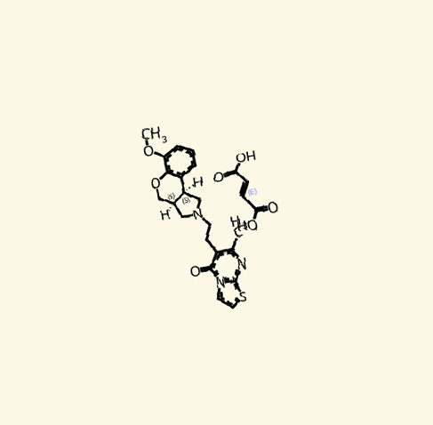 COc1cccc2c1OC[C@@H]1CN(CCc3c(C)nc4sccn4c3=O)C[C@H]21.O=C(O)/C=C/C(=O)O